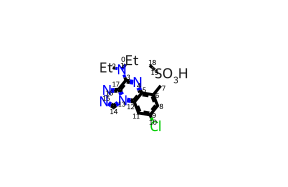 CCN(CC)c1nc2c(C)cc(Cl)cc2n2cnnc12.CS(=O)(=O)O